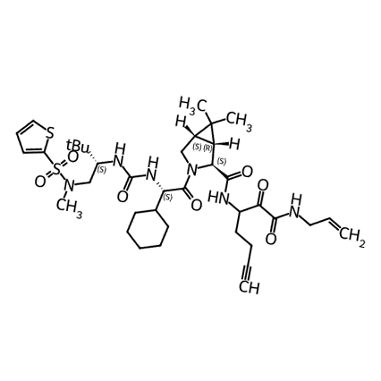 C#CCCC(NC(=O)[C@@H]1[C@@H]2[C@H](CN1C(=O)[C@@H](NC(=O)N[C@H](CN(C)S(=O)(=O)c1cccs1)C(C)(C)C)C1CCCCC1)C2(C)C)C(=O)C(=O)NCC=C